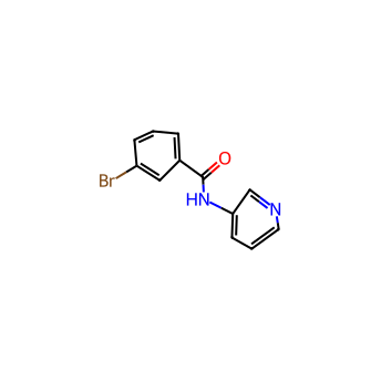 O=C(Nc1cccnc1)c1cccc(Br)c1